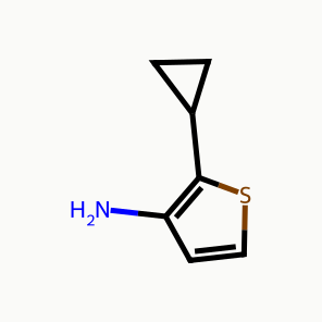 Nc1ccsc1C1CC1